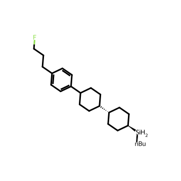 CCCC[SiH2][C@H]1CC[C@H](C2CCC(c3ccc(CCCF)cc3)CC2)CC1